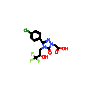 O=C(O)Cn1nc(-c2ccc(Cl)cc2)n(C[C@H](O)C(F)(F)F)c1=O